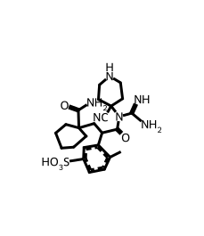 Cc1ccc(S(=O)(=O)O)cc1C(CC1(C(N)=O)CCCCC1)C(=O)N(C(=N)N)C1(C#N)CCNCC1